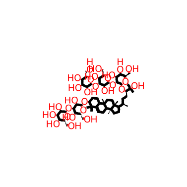 C[C@H](CC[C@@H](O[C@@H]1O[C@H](CO)[C@@H](O)[C@H](O)[C@H]1O[C@H]1O[C@@H](CO)[C@H](O)[C@@H](O[C@H]2O[C@@H](CO)[C@H](O)[C@@H](O)[C@@H]2O)[C@@H]1O)C(C)(C)O)C1CC[C@@]2(C)C3CC=C4C(CC[C@H](O[C@@H]5O[C@H](CO)[C@@H](O)[C@H](O[C@@H]6O[C@H](CO)[C@@H](O)[C@H](O)[C@H]6O)[C@H]5O)C4(C)C)[C@]3(C)CC[C@]12C